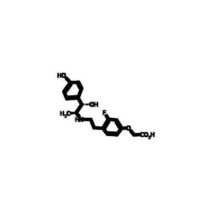 C[C@H](NCCc1ccc(OCC(=O)O)cc1F)[C@@H](O)c1ccc(O)cc1